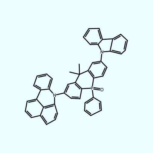 CC1(C)c2cc(N3c4ccccc4-c4cccc5cccc3c45)ccc2P(=O)(c2ccccc2)c2ccc(-n3c4ccccc4c4ccccc43)cc21